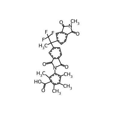 Cc1c(C)c(C(=O)O)c(C)c(N2C(=O)c3ccc(C(C)(c4ccc5c(c4)C(=O)N(C)C5=O)C(F)(F)F)cc3C2=O)c1C